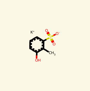 Cc1c(O)cccc1S(=O)(=O)[O-].[K+]